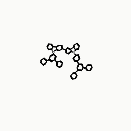 c1ccc(-c2cc(-c3ccccc3)cc(-c3ccc(-n4c5ccccc5c5cc(-c6ccc7c8ccccc8n(-c8cc(-c9ccccc9)cc(-c9ccccc9)c8)c7c6)ccc54)cc3)c2)cc1